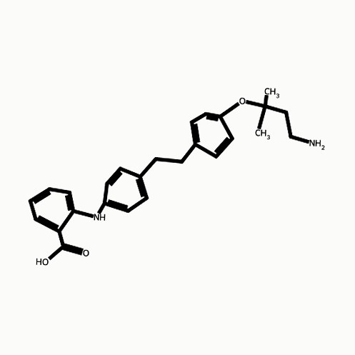 CC(C)(CCN)Oc1ccc(CCc2ccc(Nc3ccccc3C(=O)O)cc2)cc1